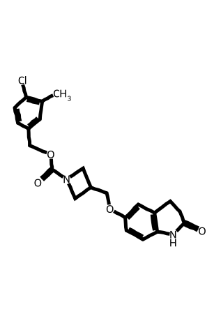 Cc1cc(COC(=O)N2CC(COc3ccc4c(c3)CCC(=O)N4)C2)ccc1Cl